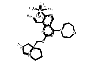 C=Cc1c(S(=C)(C)(C)C)ncc2c(N3CCCOCC3)nc(OC[C@@]34CCCN3C[C@H](F)C4)nc12